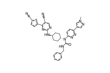 Cn1cc(-c2ccc(N(C(=O)NCc3ccccc3)[C@H]3CC[C@H](Nc4ncc(C#N)c(-c5ccc(C#N)s5)n4)CC3)nn2)cn1